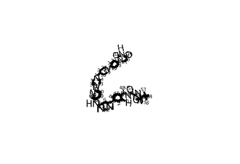 Cc1cc(-c2cc(Nc3ccc(N4CCN(CC5CCN(c6ccc(N7CCC(=O)NC7=O)cc6)CC5)CC4)nc3)ncn2)ccc1[C@@H](C)NC(=O)c1nc(C(C)(C)C)no1